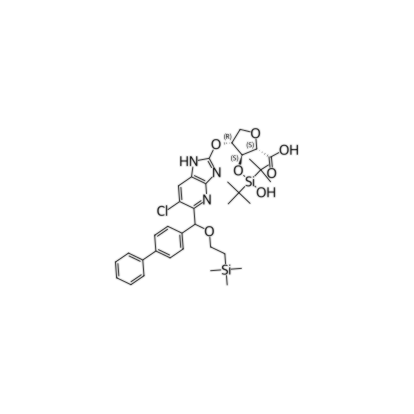 CC(C)(C)[Si](O)(O[C@@H]1[C@@H](C(=O)O)OC[C@H]1Oc1nc2nc(C(OCC[Si](C)(C)C)c3ccc(-c4ccccc4)cc3)c(Cl)cc2[nH]1)C(C)(C)C